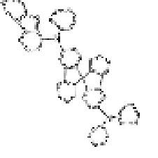 c1ccc(N(c2ccccc2)c2ccc3c(c2)-c2ccccc2C32c3ccccc3-c3cc(N(c4ccccc4)c4cccc5c4sc4ccccc45)ccc32)cc1